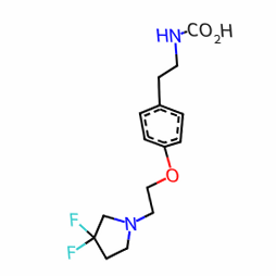 O=C(O)NCCc1ccc(OCCN2CCC(F)(F)C2)cc1